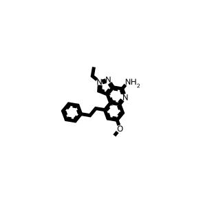 CCn1cc2c(n1)c(N)nc1cc(OC)cc(CCc3ccccc3)c12